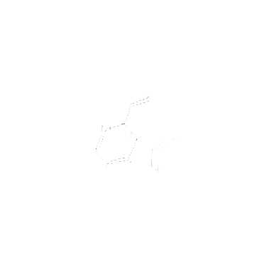 C=Cc1ccccn1.O=CO